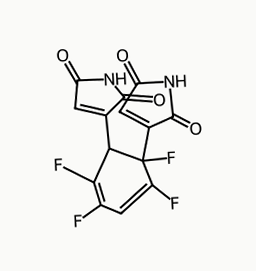 O=C1C=C(C2C(F)=C(F)C=C(F)C2(F)C2=CC(=O)NC2=O)C(=O)N1